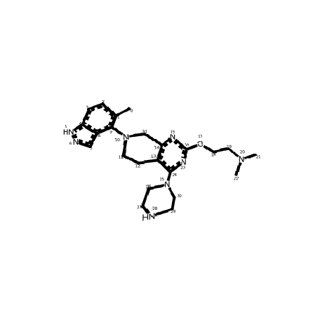 Cc1ccc2[nH]ncc2c1N1CCc2c(nc(OCCN(C)C)nc2N2CCNCC2)C1